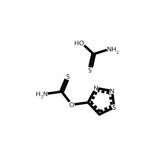 NC(=S)Oc1csnn1.NC(O)=S